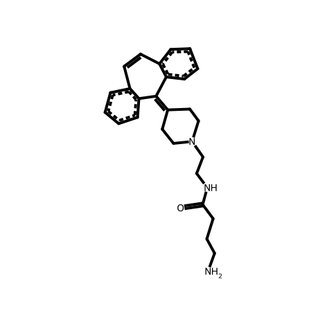 NCCCC(=O)NCCN1CCC(=C2c3ccccc3C=Cc3ccccc32)CC1